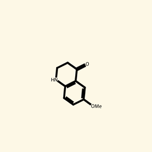 COc1ccc2c(c1)C(=O)CCN2